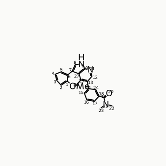 COc1ccccc1-c1c[nH]c2ncc(-c3cccc(C(=O)N(C)C)c3)c(C)c12